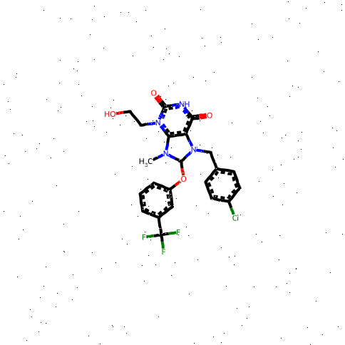 CN1c2c(c(=O)[nH]c(=O)n2CCO)N(Cc2ccc(Cl)cc2)C1Oc1cccc(C(F)(F)F)c1